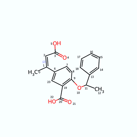 C/C(=C/C(=O)O)c1ccc(OC(C)c2ccccc2)c(C(=O)O)c1